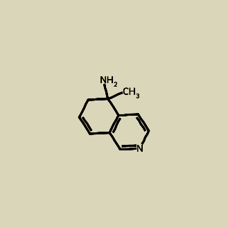 CC1(N)CC=Cc2cnccc21